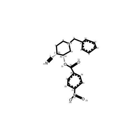 N#C[C@@H]1CCN(Cc2ccccc2)C[C@@H]1OC(=O)c1ccc([N+](=O)[O-])cc1